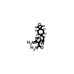 N#CCC1(n2cc(C(N)=O)c(N)n2)CCC2(CC1)COC2